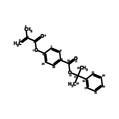 C=C(C)C(=O)Oc1ccc(C(=O)OC(C)(C)c2ccccc2)cc1